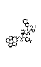 O=C(CN1Cc2ccc3ccccc3c2-c2c(ccc3ccccc23)C1)Nc1ccc(Cl)cc1/C(=N/C(Cc1ccc2ccccc2c1)C(=O)O)c1ccccc1